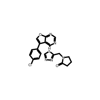 O=C1CCCN1CC1=NN=C[SH]1c1ncnc2occ(-c3ccc(Cl)cc3)c12